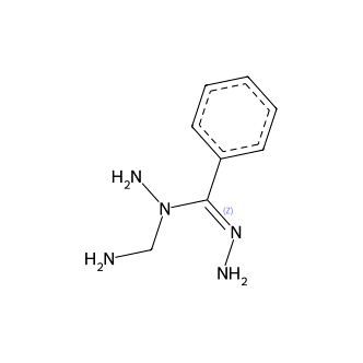 NCN(N)/C(=N\N)c1ccccc1